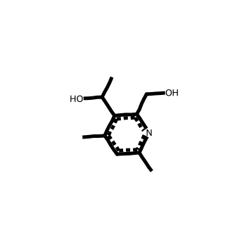 Cc1cc(C)c(C(C)O)c(CO)n1